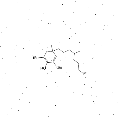 CC(C)CCCC(C)CCCC1(C)C=C(C(C)(C)C)C(O)=C(C(C)(C)C)C1